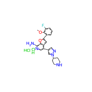 COc1c(F)cccc1-c1cc2c(-c3cnn(C4CCNCC4)c3)cnc(N)c2o1.Cl.Cl